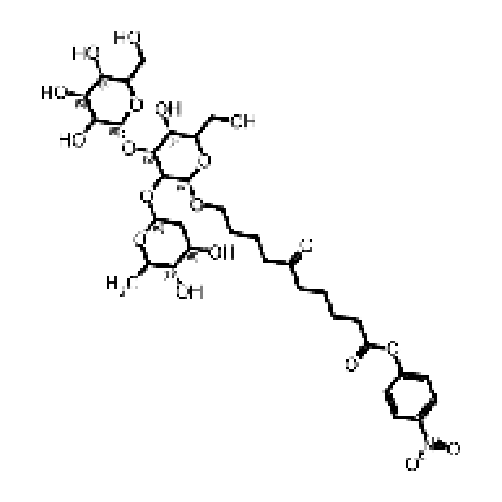 CC1O[C@@H](OC2[C@H](OCCCCC(=O)CCCCC(=O)Oc3ccc([N+](=O)[O-])cc3)OC(CO)[C@H](O)[C@@H]2O[C@H]2OC(CO)[C@H](O)[C@H](O)C2O)C[C@@H](O)[C@@H]1O